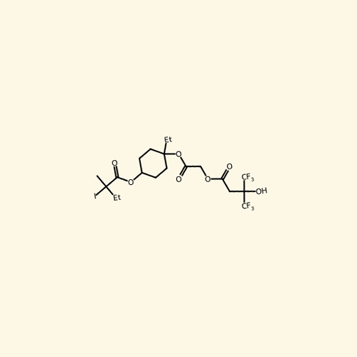 CCC1(OC(=O)COC(=O)CC(O)(C(F)(F)F)C(F)(F)F)CCC(OC(=O)C(C)(I)CC)CC1